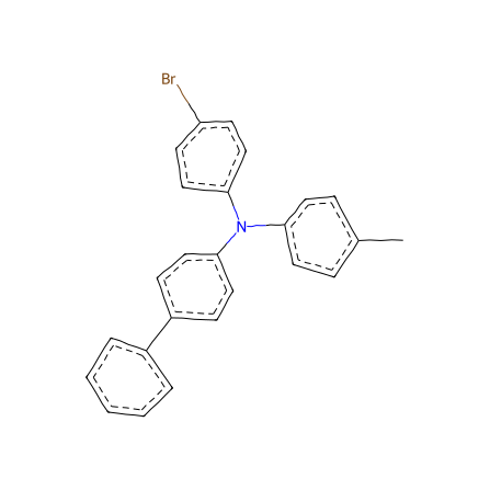 Cc1ccc(N(c2ccc(Br)cc2)c2ccc(-c3ccccc3)cc2)cc1